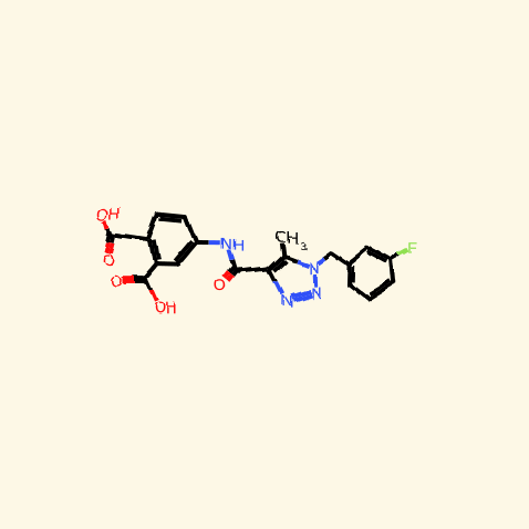 Cc1c(C(=O)Nc2ccc(C(=O)O)c(C(=O)O)c2)nnn1Cc1cccc(F)c1